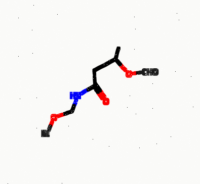 CCOCNC(=O)CC(C)OC=O